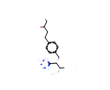 CCC[C@H](C(=O)O)[C@H](Cc1ccc(CCC(O)CO)cc1)c1nn[nH]n1